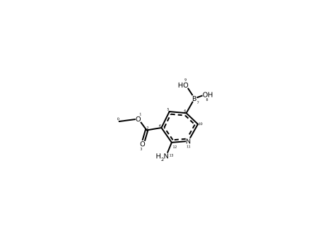 COC(=O)c1cc(B(O)O)cnc1N